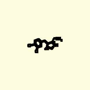 C[C@@H]1CN[C@@H](CN)C1Cc1ccc(Cl)c(Cl)c1